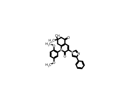 COc1ccc(OC)c(-n2c3c(cc(-n4cnc(-c5ccccc5)c4)c2=O)C(=O)CC(C)(C)C3)c1